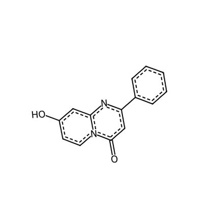 O=c1cc(-c2ccccc2)nc2cc(O)ccn12